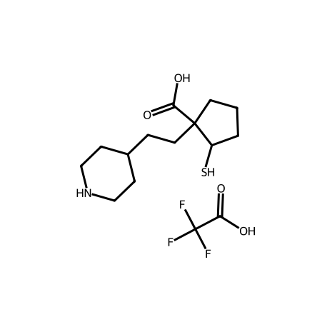 O=C(O)C(F)(F)F.O=C(O)C1(CCC2CCNCC2)CCCC1S